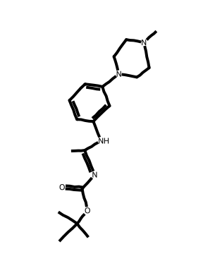 C/C(=N\C(=O)OC(C)(C)C)Nc1cccc(N2CCN(C)CC2)c1